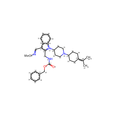 CON=Cc1c(CNC(=O)OCc2ccccc2)n(C2CCN(C3CCC(=C(C)C)CC3)CC2)c2ccccc12